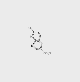 CCOC(=O)c1cnc2nc(Cl)ccc2c1